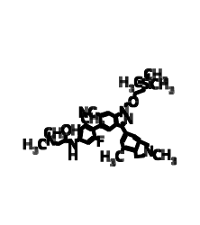 Cc1cc(-c2nn(COCC[Si](C)(C)C)c3cc(C#N)c(-c4c(C)cc(NC(O)CN(C)C)cc4F)cc23)cc2c1CCN(C)C2